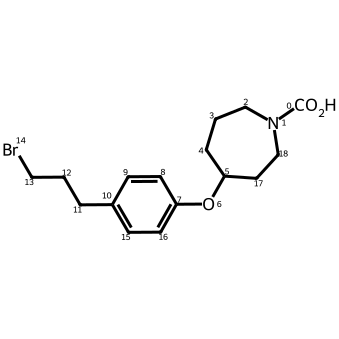 O=C(O)N1CCCC(Oc2ccc(CCCBr)cc2)CC1